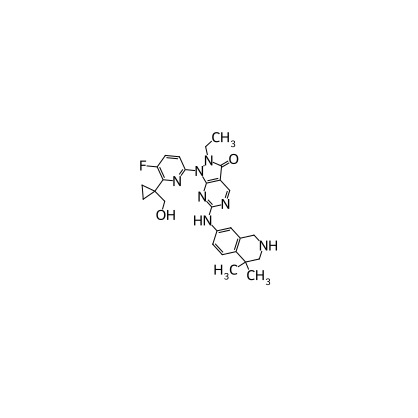 CCn1c(=O)c2cnc(Nc3ccc4c(c3)CNCC4(C)C)nc2n1-c1ccc(F)c(C2(CO)CC2)n1